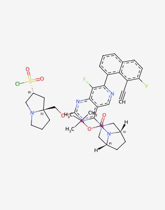 C#Cc1c(F)ccc2cccc(-c3ncc4c(N5C[C@H]6CC[C@@H](C5)N6C(=O)OC(C)(C)C)nc(OC[C@@]56CCCN5C[C@H](S(=O)(=O)Cl)C6)nc4c3F)c12